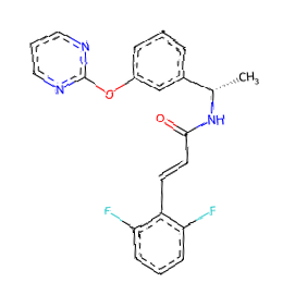 C[C@H](NC(=O)/C=C/c1c(F)cccc1F)c1cccc(Oc2ncccn2)c1